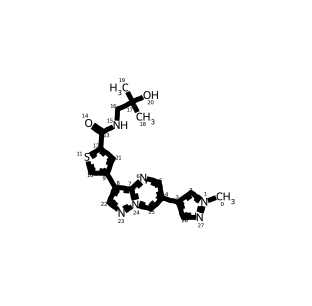 Cn1cc(-c2cnc3c(-c4csc(C(=O)NCC(C)(C)O)c4)cnn3c2)cn1